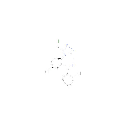 ClCc1nnc2n1-c1ccc(Cl)cc1C(c1ccccc1Cl)=NC2